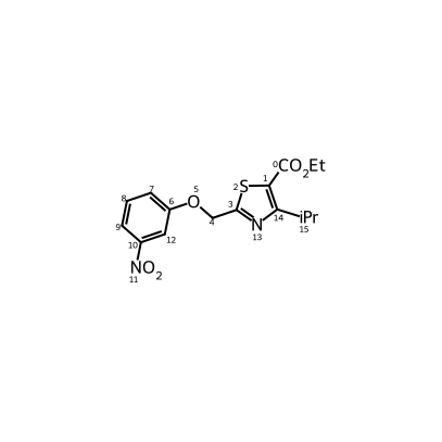 CCOC(=O)c1sc(COc2cccc([N+](=O)[O-])c2)nc1C(C)C